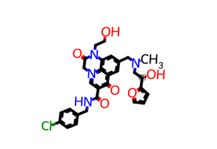 CN(Cc1cc2c3c(c1)c(=O)c(C(=O)NCc1ccc(Cl)cc1)cn3CC(=O)N2CCO)C[C@@H](O)c1ccco1